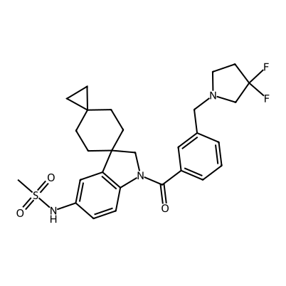 CS(=O)(=O)Nc1ccc2c(c1)C1(CCC3(CC3)CC1)CN2C(=O)c1cccc(CN2CCC(F)(F)C2)c1